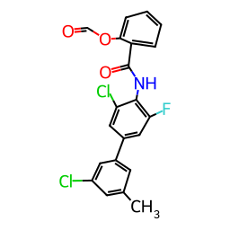 Cc1cc(Cl)cc(-c2cc(F)c(NC(=O)c3ccccc3OC=O)c(Cl)c2)c1